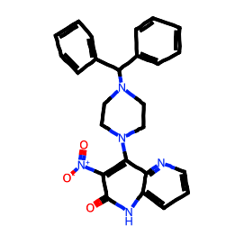 O=c1[nH]c2cccnc2c(N2CCN(C(c3ccccc3)c3ccccc3)CC2)c1[N+](=O)[O-]